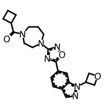 O=C(C1CCC1)N1CCCN(c2noc(-c3ccc4cnn(C5COC5)c4c3)n2)CC1